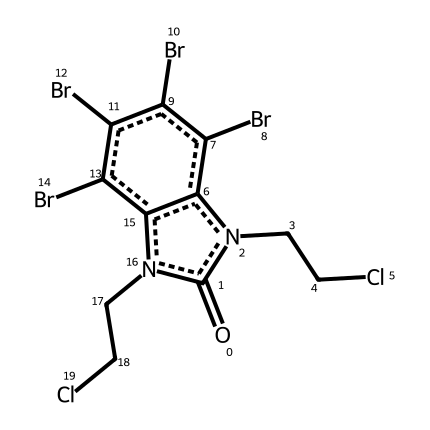 O=c1n(CCCl)c2c(Br)c(Br)c(Br)c(Br)c2n1CCCl